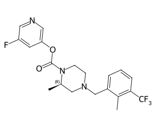 Cc1c(CN2CCN(C(=O)Oc3cncc(F)c3)[C@H](C)C2)cccc1C(F)(F)F